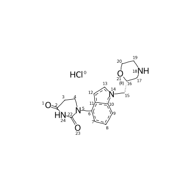 Cl.O=C1CCN(c2cccc3c2ccn3C[C@H]2CNCCO2)C(=O)N1